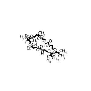 C=C(C)C(=O)OCCNC(=O)OCCOC(C)(C)CCOC(C)(CC)C(C)(F)COC(C)(CC)CCOC(=O)NCCOC(=O)C(=C)C